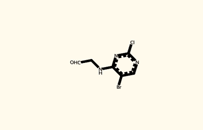 O=CCNc1nc(Cl)ncc1Br